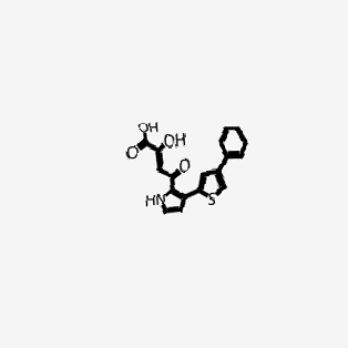 O=C(O)C(O)=CC(=O)c1[nH]ccc1-c1cc(-c2ccccc2)cs1